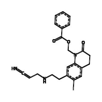 N=C=CCNCCc1cc2c(cc1I)CCC(=O)N2COC(=O)c1ccccc1